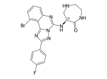 O=C1NCCNC[C@@H]1Nc1nc2cccc(Br)c2c2nc(-c3ccc(F)cc3)nn12